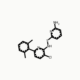 Cc1cccc(C)c1-c1ccc(Cl)c(NSc2cccc(N)n2)n1